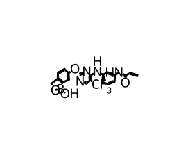 C=CC(=O)Nc1cccc(Nc2nc(Oc3ccc4c(c3)B(O)OC4)ncc2C(F)(F)F)c1